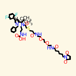 CC(C)(C)[C@H](c1cc(-c2cc(F)ccc2F)cn1Cc1ccccc1)N(CCCNC(=O)O)C(=O)CSCCC(=O)NCCOCCOCCNC(=O)CCCCCN1C(=O)C=CC1=O